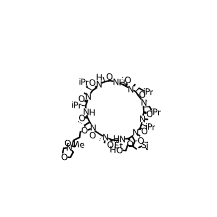 CC[C@@H]1NC(=O)[C@H]([C@H](O[Si](C)(C)C)C(C)CCO)N(C)C(=O)[C@H](C(C)C)N(C)C(=O)[C@H](CC(C)C)N(C)C(=O)[C@H](CC(C)C)N(C)C(=O)[C@@H](C)NC(=O)[C@H](C)NC(=O)[C@H](CC(C)C)N(C)C(=O)[C@H](C(C)C)NC(=O)C([C@@H](C)OCCCC[N+]2(OC)CCOCC2)N(C)C(=O)[C@@H](C)N(C)C1=O